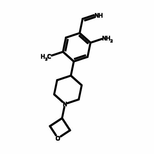 Cc1cc(C=N)c(N)cc1C1CCN(C2COC2)CC1